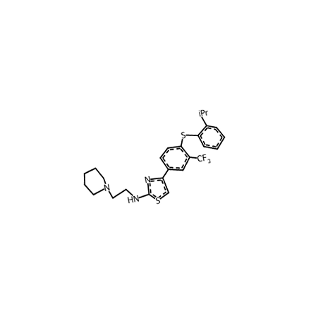 CC(C)c1ccccc1Sc1ccc(-c2csc(NCCN3CCCCC3)n2)cc1C(F)(F)F